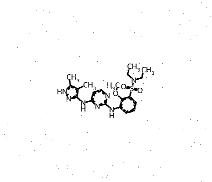 CCN(CC)S(=O)(=O)c1cccc(Nc2nccc(Nc3n[nH]c(C)c3C)n2)c1OC